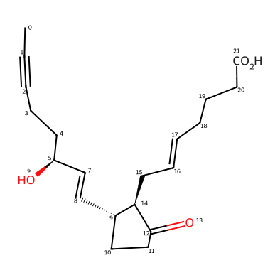 CC#CCC[C@H](O)C=C[C@H]1CCC(=O)[C@@H]1CC=CCCCC(=O)O